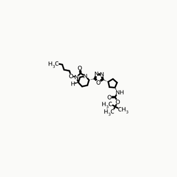 CCCCON1C(=O)N2C[C@@H]1CC[C@H]2c1nnc([C@@H]2CC[C@H](NC(=O)OC(C)(C)C)C2)o1